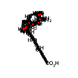 CC(=O)[C@@H]1CCCCNC(=O)CC[C@H](NC(=O)[C@H](Cc2ccccc2)NC(=O)[C@H](CN)NC(=O)[C@H](Cc2c[nH]cn2)NC(=O)[C@H](CCC(N)=O)NC(=O)[C@H](CO)NC(=O)CNC(=O)COCCOCCNC(=O)COCCOCCNC(=O)CCCCCCCCCCCCCCCCC(=O)O)C(=O)N2C[C@H](O)C[C@H]2C(=O)N[C@H](Cc2ccccc2)C(=O)N[C@@H](CCCNC(=N)N)C(=O)N[C@@H](Cc2c[nH]c3ccccc23)C(=O)N1